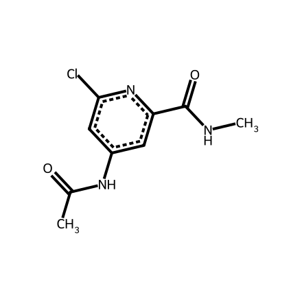 CNC(=O)c1cc(NC(C)=O)cc(Cl)n1